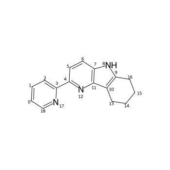 c1ccc(-c2ccc3[nH]c4c(c3n2)CCCC4)nc1